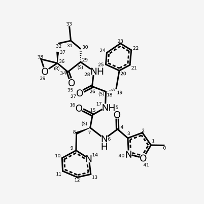 Cc1cc(C(=O)N[C@@H](Cc2ccccn2)C(=O)N[C@@H](Cc2ccccc2)C(=O)N[C@@H](CC(C)C)C(=O)[C@@]2(C)CO2)no1